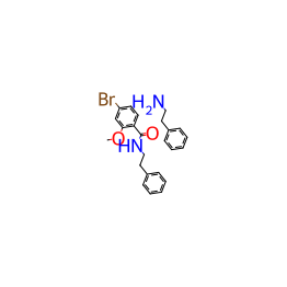 COc1cc(Br)ccc1C(=O)NCCc1ccccc1.NCCc1ccccc1